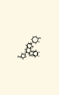 CN1CCCN(c2ccc3nc(N4CC[C@H](F)C4)c4nc5ccccc5n4c3n2)CC1